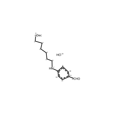 CCCCCCCCCCCCCCCCNc1ccc(C=O)cc1.Cl